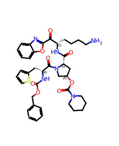 NCCCC[C@H](NC(=O)[C@@H]1C[C@@H](OC(=O)N2CCCCC2)CN1C(=O)[C@@H](Cc1cccs1)NC(=O)OCc1ccccc1)C(=O)c1nc2ccccc2o1